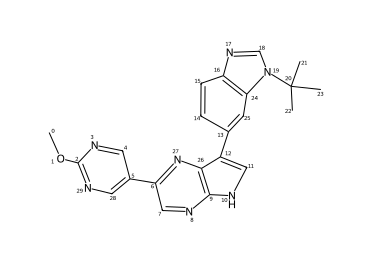 COc1ncc(-c2cnc3[nH]cc(-c4ccc5ncn(C(C)(C)C)c5c4)c3n2)cn1